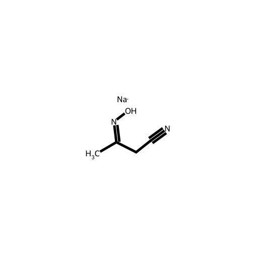 CC(CC#N)=NO.[Na]